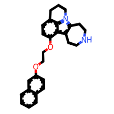 c1ccc2cc(OCCOc3ccc4c5c3c3c(n5CCC4)CCNCC3)ccc2c1